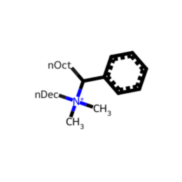 CCCCCCCCCC[N+](C)(C)C(CCCCCCCC)c1ccccc1